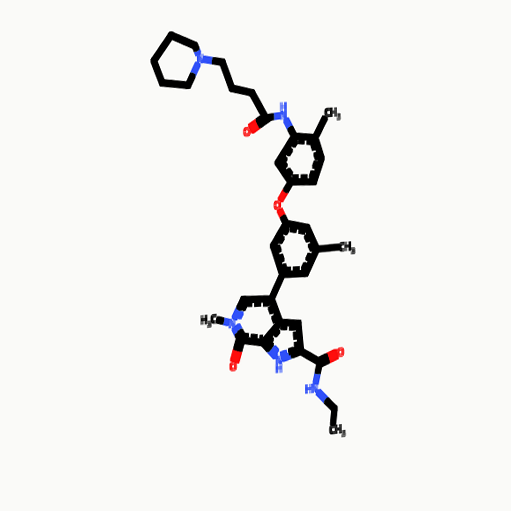 CCNC(=O)c1cc2c(-c3cc(C)cc(Oc4ccc(C)c(NC(=O)CCCN5CCCCC5)c4)c3)cn(C)c(=O)c2[nH]1